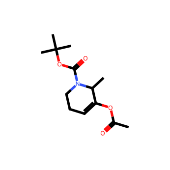 CC(=O)OC1=CCCN(C(=O)OC(C)(C)C)C1C